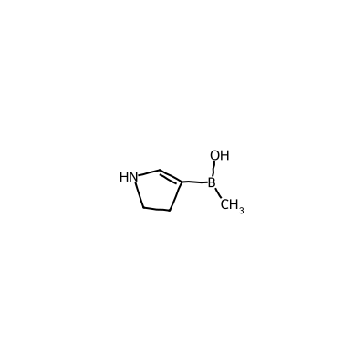 CB(O)C1=CNCC1